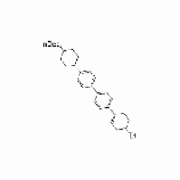 CCCCCCCCCC[C@H]1CC[C@H](c2ccc(-c3ccc(C4=CCC(CC)CC4)cc3)cc2)CC1